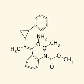 COC(=O)N(OC)c1ccccc1/C(ON)=C(\C)C1CC1c1ccccc1